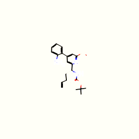 C=CCC[C@H](NC(=O)OC(C)(C)C)c1cc(-c2ccccc2N)cc(OC)n1